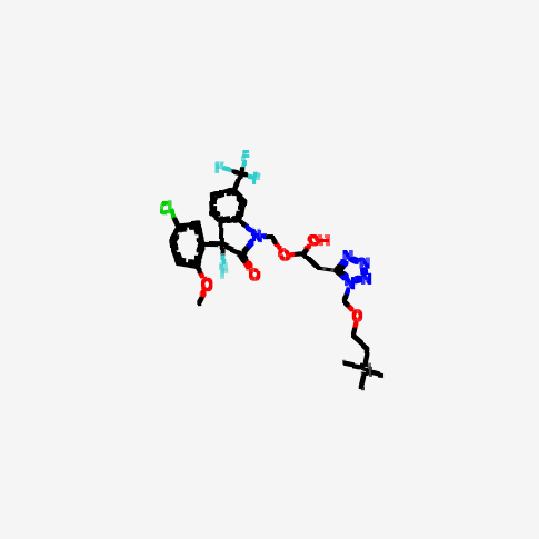 COc1ccc(Cl)cc1C1(F)C(=O)N(COC(O)Cc2nnnn2COCC[Si](C)(C)C)c2cc(C(F)(F)F)ccc21